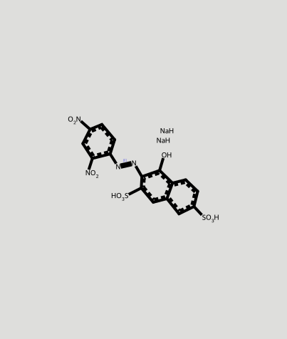 O=[N+]([O-])c1ccc(/N=N/c2c(S(=O)(=O)O)cc3cc(S(=O)(=O)O)ccc3c2O)c([N+](=O)[O-])c1.[NaH].[NaH]